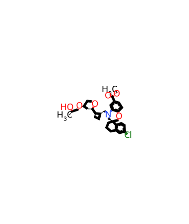 COC(=O)c1ccc2c(c1)N(C[C@@H]1CC[C@H]1[C@@H]1C[C@H](OC[C@H](C)O)CCO1)C[C@@]1(CCCc3cc(Cl)ccc31)CO2